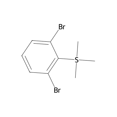 CS(C)(C)c1c(Br)cccc1Br